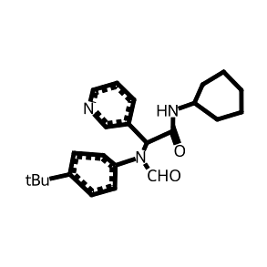 CC(C)(C)c1ccc(N(C=O)C(C(=O)NC2CCCCC2)c2cccnc2)cc1